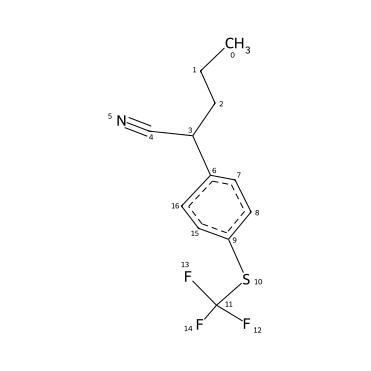 CCCC(C#N)c1ccc(SC(F)(F)F)cc1